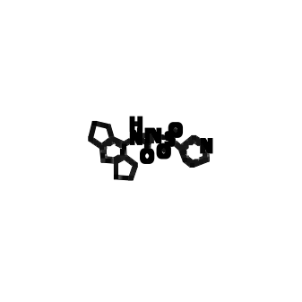 O=C(Nc1c2c(cc3c1CCC3)CCC2)NS(=O)(=O)c1cccnc1